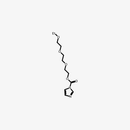 [CH2]COCCOCCOCCOC(=O)n1ccnc1